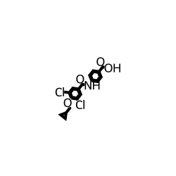 O=C(O)c1ccc(NC(=O)c2cc(Cl)c(OCC3CC3)c(Cl)c2)cc1